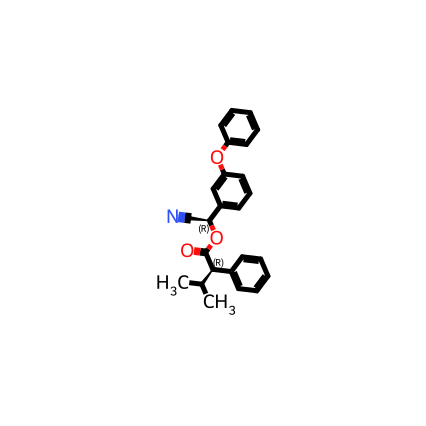 CC(C)[C@@H](C(=O)O[C@@H](C#N)c1cccc(Oc2ccccc2)c1)c1ccccc1